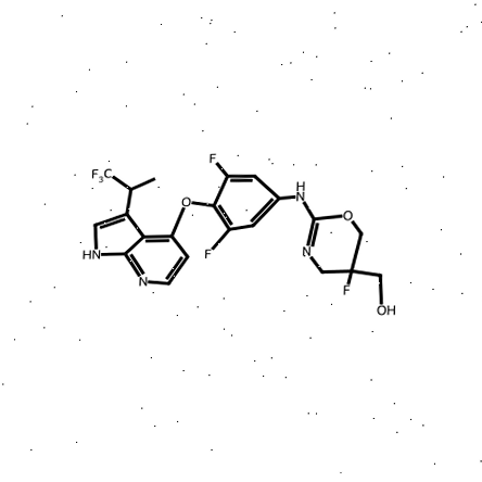 CC(c1c[nH]c2nccc(Oc3c(F)cc(NC4=NCC(F)(CO)CO4)cc3F)c12)C(F)(F)F